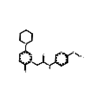 COc1ccc(NC(=O)Cn2nc(N3CCCCC3)ccc2=O)cn1